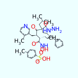 CCCC(CC(C)C)(C(=O)NN)C(=O)[C@H](Cc1cnccc1C)[C@H](C/C=C/c1ccccc1)C(=O)NO.Cc1ccc(S(=O)(=O)O)cc1